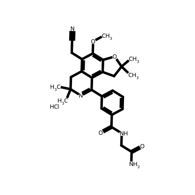 COc1c(CC#N)c2c(c3c1OC(C)(C)C3)C(c1cccc(C(=O)NCC(N)=O)c1)=NC(C)(C)C2.Cl